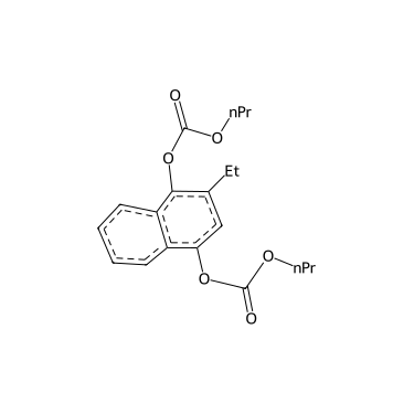 CCCOC(=O)Oc1cc(CC)c(OC(=O)OCCC)c2ccccc12